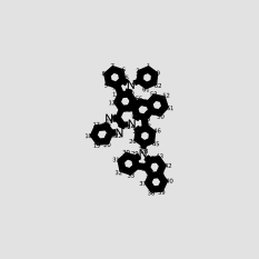 c1ccc(-n2c3ccccc3c3cc(-c4nc5ccccc5nc4-n4c5cc(-n6c7ccccc7c7c8ccccc8ccc76)ccc5c5c6ccccc6ccc54)ccc32)cc1